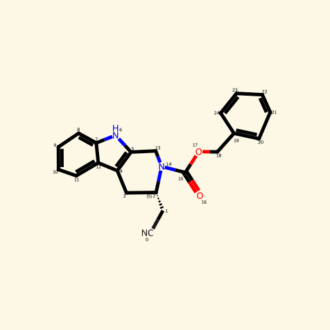 N#CC[C@@H]1Cc2c([nH]c3ccccc23)CN1C(=O)OCc1ccccc1